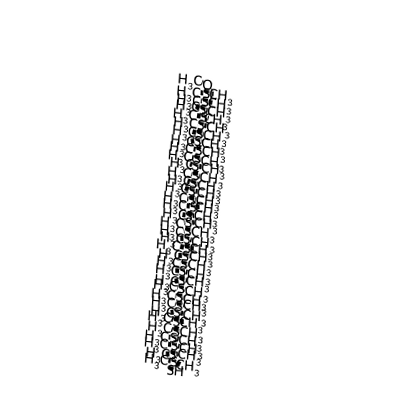 CO[Si](C)(C)S(C)(C)S(C)(C)S(C)(C)S(C)(C)S(C)(C)S(C)(C)S(C)(C)S(C)(C)S(C)(C)S(C)(C)S(C)(C)S(C)(C)S(C)(C)S(C)(C)S(C)(C)S(C)(C)S(C)(C)S(C)(C)S(C)(C)S(C)(C)S(C)(C)S(C)(C)S(C)(C)S(C)(C)S(C)(C)S(C)(C)S(C)(C)S(C)(C)S(C)(C)S(C)(C)S(C)(C)S(C)(C)S(C)(C)S